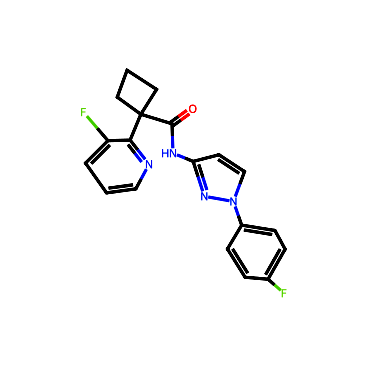 O=C(Nc1ccn(-c2ccc(F)cc2)n1)C1(c2ncccc2F)CCC1